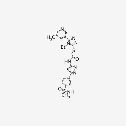 CCn1c(SCC(=O)Nc2nnc(-c3ccc(S(C)(=N)=O)cc3)s2)nnc1-c1cncc(C)c1